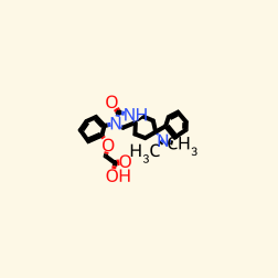 CN(C)[C@]1(c2ccccc2)CC[C@@]2(CC1)CN(c1ccccc1OCC(=O)O)C(=O)N2